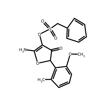 COc1cccc(C)c1C1OC(N)=C(OS(=O)(=O)Cc2ccccc2)C1=O